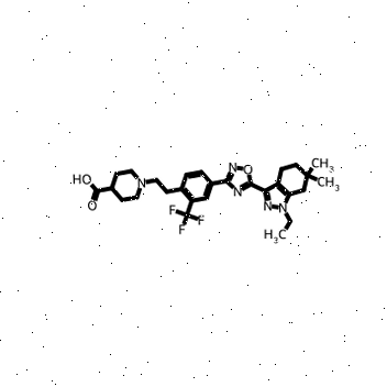 CCn1nc(-c2nc(-c3ccc(CCN4CCC(C(=O)O)CC4)c(C(F)(F)F)c3)no2)c2c1CC(C)(C)CC2